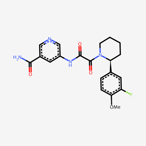 COc1ccc([C@@H]2CCCCN2C(=O)C(=O)Nc2cncc(C(N)=O)c2)cc1F